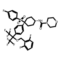 O=C(N[C@H]1CC[C@@](c2ccc(C(OCc3c(F)cccc3F)(C(F)(F)F)C(F)(F)F)cc2)(S(=O)(=O)c2ccc(F)cc2)CC1)N1CCOCC1